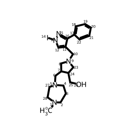 CN1CCCN(CC2CN(Cc3cn(I)nc3-c3ccccc3)CC2CO)CC1